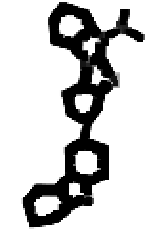 CN(C)n1c2ccccc2n2c3ccc(-c4ccc5sc6ccccc6c5c4)cc3nc12